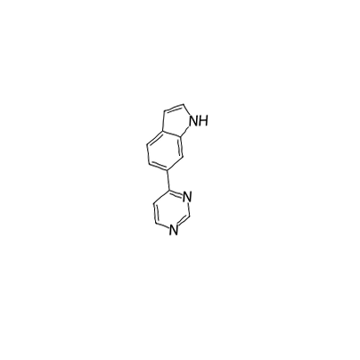 c1cc(-c2ccc3cc[nH]c3c2)ncn1